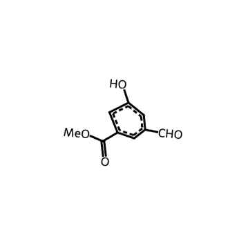 COC(=O)c1cc(O)cc(C=O)c1